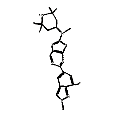 CN(c1nc2cnc(-c3cc(F)c4nn(C)cc4c3)nc2s1)C1CC(C)(C)NC(C)(C)C1